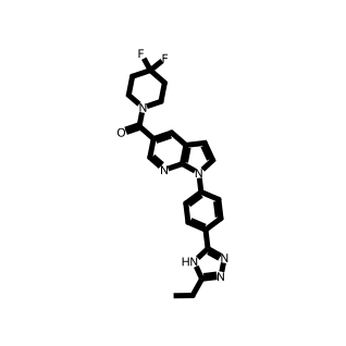 CCc1nnc(-c2ccc(-n3ccc4cc(C(=O)N5CCC(F)(F)CC5)cnc43)cc2)[nH]1